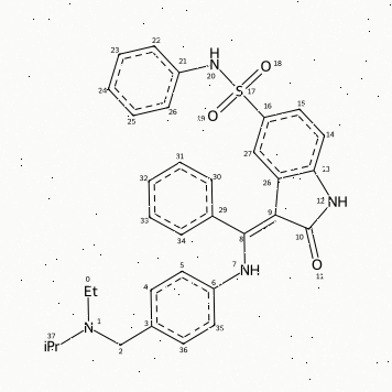 CCN(Cc1ccc(N/C(=C2\C(=O)Nc3ccc(S(=O)(=O)Nc4ccccc4)cc32)c2ccccc2)cc1)C(C)C